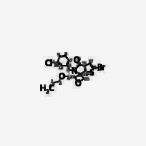 C=CCOC[C@H](c1cccc(Cl)c1)N1C(=O)c2cc(Br)sc2C12COC2